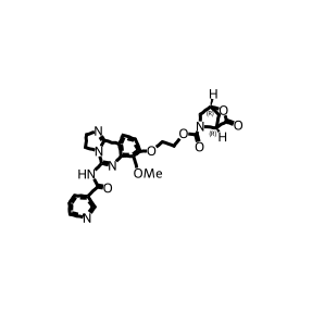 COc1c(OCCOC(=O)N2C[C@H]3C[C@@H]2C(=O)O3)ccc2c1N=C(NC(=O)c1cccnc1)N1CCN=C21